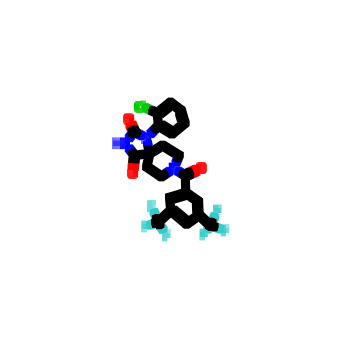 O=C(c1cc(C(F)(F)F)cc(C(F)(F)F)c1)N1CCC2(CC1)C(=O)NC(=O)N2c1ccccc1Cl